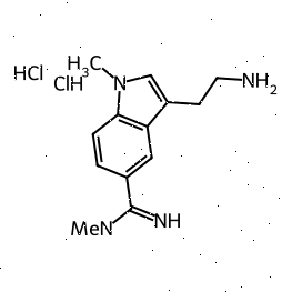 CNC(=N)c1ccc2c(c1)c(CCN)cn2C.Cl.Cl